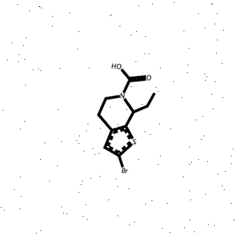 CCC1c2sc(Br)cc2CCN1C(=O)O